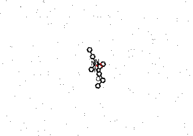 C1=CC(c2ccc(-c3nc(-c4ccccc4)nc(-c4ccccc4-n4c5ccccc5c5cc6c(cc54)oc4c(-c5ccccc5)cccc46)n3)cc2)=CCC1